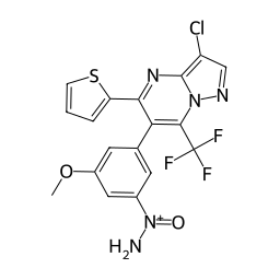 COc1cc(-c2c(-c3cccs3)nc3c(Cl)cnn3c2C(F)(F)F)cc([N+](N)=O)c1